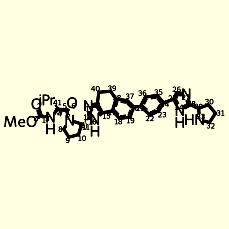 COC(=O)N[C@H](C(=O)N1CCC[C@H]1c1nc2c([nH]1)-c1ccc(-c3ccc(-c4cnc(C5CCCN5)[nH]4)cc3)cc1CC2)C(C)C